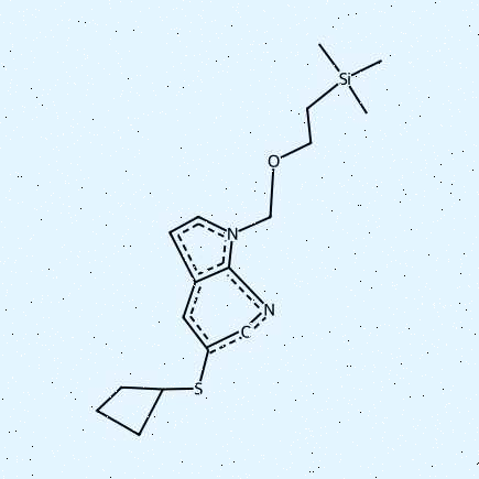 C[Si](C)(C)CCOCn1ccc2cc(SC3CCC3)cnc21